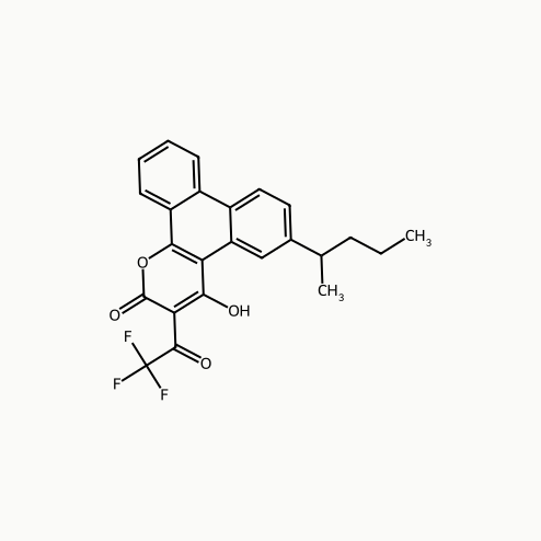 CCCC(C)c1ccc2c3ccccc3c3oc(=O)c(C(=O)C(F)(F)F)c(O)c3c2c1